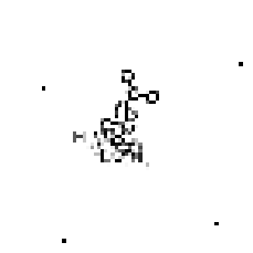 CC1(C)c2ccccc2-c2c1cc1c(c2-c2ccc3ccc4c(-c5cc(-c6ccccc6)cc(-c6ccccc6)c5)ccc5ccc2c3c54)-c2ccccc2C1(C)C